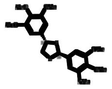 CNc1cc([C@H]2SC[C@H](c3cc(OC)c(OC)c(OC)c3)S2)cc(OC)c1OC